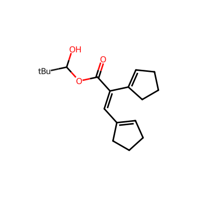 CC(C)(C)C(O)OC(=O)C(=CC1=CCCC1)C1=CCCC1